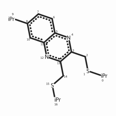 CC(C)SCc1nc2ccc(C(C)C)cc2nc1CSC(C)C